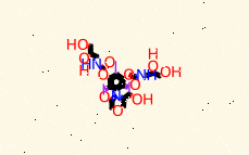 O=C(NCC(O)CO)Oc1c(I)c(OC(=O)NCC(O)CO)c(I)c(N2C(=O)COCC2CO)c1I